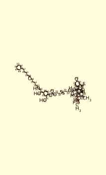 CCC(=O)C[C@]1(C(=O)SCF)[C@H](C)C[C@H]2[C@@H]3C[C@H](F)C4=CC(=O)C=C[C@]4(C)[C@@]3(C)[C@@H](OC(=O)OCCSSCCOC(=O)Oc3ccc(C(O)CNCCCCCOCCCCCc4ccccc4)cc3CO)C[C@@]21C